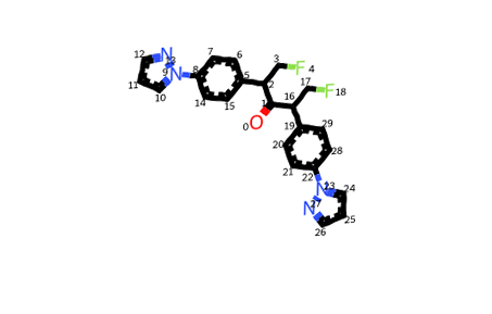 O=C(C(CF)c1ccc(-n2cccn2)cc1)C(CF)c1ccc(-n2cccn2)cc1